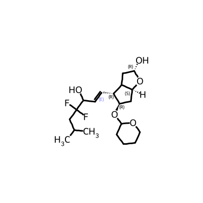 CC(C)CC(F)(F)C(O)/C=C/[C@@H]1C2C[C@H](O)O[C@H]2C[C@H]1OC1CCCCO1